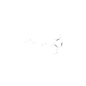 COc1ccc(CO)c(OCCOCCN)c1